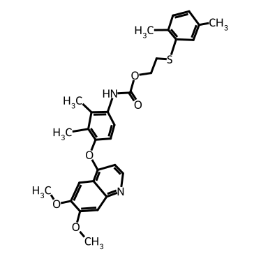 COc1cc2nccc(Oc3ccc(NC(=O)OCCSc4cc(C)ccc4C)c(C)c3C)c2cc1OC